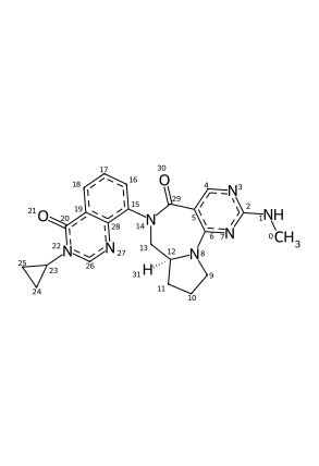 CNc1ncc2c(n1)N1CCC[C@H]1CN(c1cccc3c(=O)n(C4CC4)cnc13)C2=O